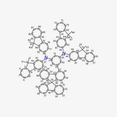 CC1(C)c2ccccc2-c2ccc(N(c3cc(-c4cccc5c4-c4ccccc4C54c5ccccc5-c5ccccc54)cc(N(c4ccc5c(c4)C(C)(C)c4ccccc4-5)c4ccc5c(c4)C(C)(C)c4ccccc4-5)c3)c3ccc4c(c3)C(C)(C)c3ccccc3-4)cc21